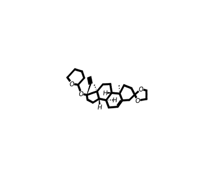 C#C[C@]1(OC2CCCCO2)CC[C@H]2[C@@H]3CC=C4CC5(CC[C@]4(C)[C@H]3CC[C@@]21C)OCCO5